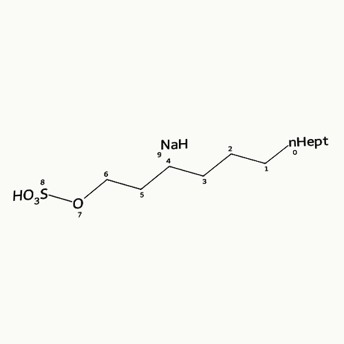 CCCCCCCCCCCCCOS(=O)(=O)O.[NaH]